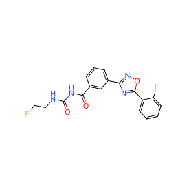 O=C(NCCF)NC(=O)c1cccc(-c2noc(-c3ccccc3F)n2)c1